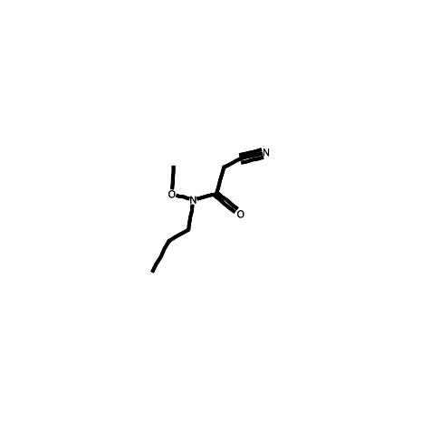 CCCN(OC)C(=O)CC#N